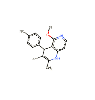 CCOc1nccc2c1C(c1ccc(C#N)cc1)C(C(C)=O)=C(C)N2